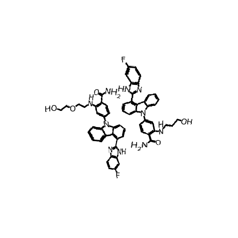 NC(=O)c1ccc(-n2c3ccccc3c3c(-c4nc5ccc(F)cc5[nH]4)cccc32)cc1NCCCO.NC(=O)c1ccc(-n2c3ccccc3c3c(-c4nc5ccc(F)cc5[nH]4)cccc32)cc1NCCOCCO